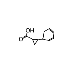 O=C(O)C1C[C@@H]1C1C=CC=CC1